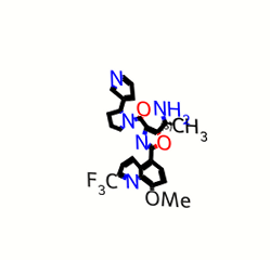 COc1ccc(-c2nc(C(=O)N3CCCC3c3cccnc3)c([C@H](C)N)o2)c2ccc(C(F)(F)F)nc12